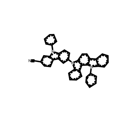 N#Cc1ccc2c3cc(-n4c5ccccc5c5c4ccc4c6ccccc6n(-c6ccccc6)c45)ccc3n(-c3ccccc3)c2c1